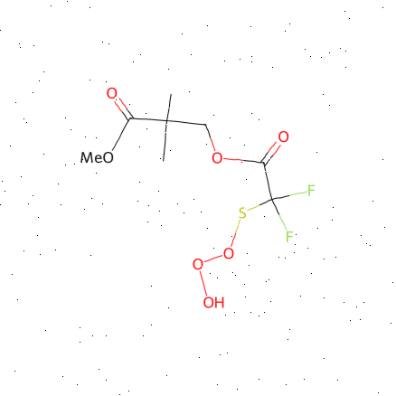 COC(=O)C(C)(C)COC(=O)C(F)(F)SOOO